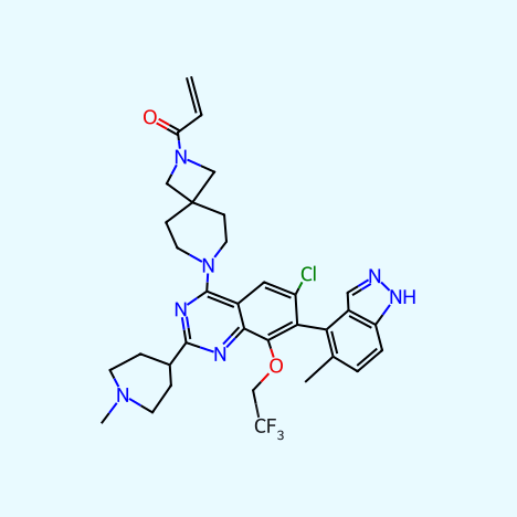 C=CC(=O)N1CC2(CCN(c3nc(C4CCN(C)CC4)nc4c(OCC(F)(F)F)c(-c5c(C)ccc6[nH]ncc56)c(Cl)cc34)CC2)C1